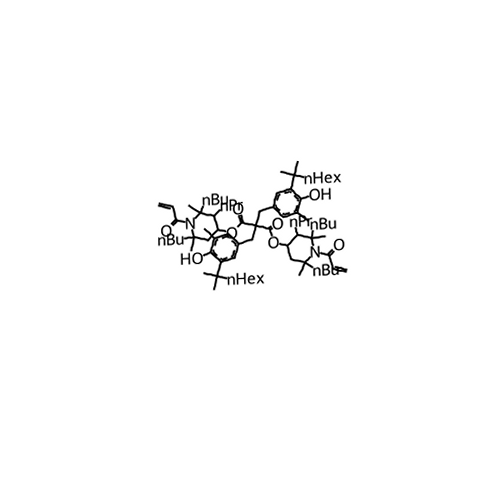 C=CC(=O)N1C(C)(CCCC)CC(OC(=O)C(Cc2cc(C)c(O)c(C(C)(C)CCCCCC)c2)(Cc2cc(C)c(O)c(C(C)(C)CCCCCC)c2)C(=O)OC2CC(C)(CCCC)N(C(=O)C=C)C(C)(CCCC)C2CCC)C(CCC)C1(C)CCCC